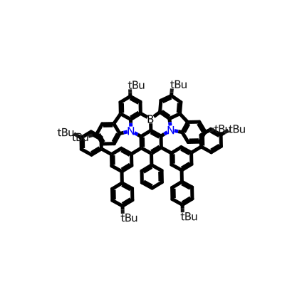 CC(C)(C)c1ccc(-c2cc(-c3ccc(C(C)(C)C)cc3)cc(-c3c(-c4ccccc4)c(-c4cc(-c5ccc(C(C)(C)C)cc5)cc(-c5ccc(C(C)(C)C)cc5)c4)c4c5c3-n3c6ccc(C(C)(C)C)cc6c6cc(C(C)(C)C)cc(c63)B5c3cc(C(C)(C)C)cc5c6cc(C(C)(C)C)ccc6n-4c35)c2)cc1